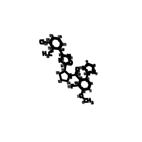 COc1ccc(-n2nccn2)c(C(=O)N2CCC[C@H]2c2nc(-c3cccc(Cl)c3C)no2)c1F